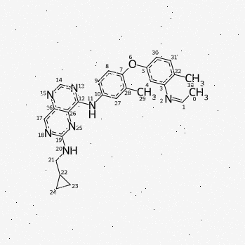 C/C=N\c1cc(Oc2ccc(Nc3ncnc4cnc(NCC5CC5)nc34)cc2C)ccc1C